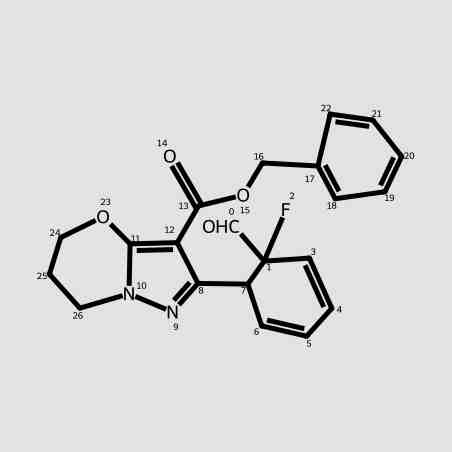 O=CC1(F)C=CC=CC1c1nn2c(c1C(=O)OCc1ccccc1)OCCC2